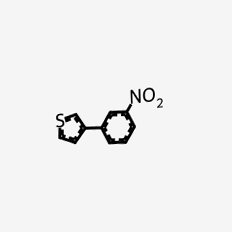 O=[N+]([O-])c1cccc(-c2ccsc2)c1